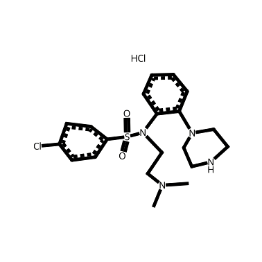 CN(C)CCN(c1ccccc1N1CCNCC1)S(=O)(=O)c1ccc(Cl)cc1.Cl